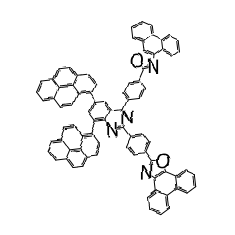 c1cc2ccc3ccc(-c4cc(-c5ccc6ccc7cccc8ccc5c6c78)c5nc(-c6ccc(-c7nc8c9ccccc9c9ccccc9c8o7)cc6)nc(-c6ccc(-c7nc8c9ccccc9c9ccccc9c8o7)cc6)c5c4)c4ccc(c1)c2c34